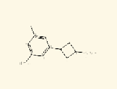 CNC1CC(c2cc(C)cc(C(C)C)c2)C1